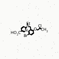 C=C(Cl)COc1ccc(Br)cc1CN(CC)c1ccc(C(=O)O)cn1